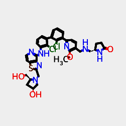 COc1nc(-c2cccc(-c3cccc(Nc4nccc5sc(CN6C[C@H](O)C[C@H]6CO)nc45)c3Cl)c2Cl)ccc1CNC[C@@H]1CCC(=O)N1